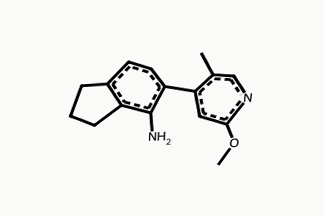 COc1cc(-c2ccc3c(c2N)CCC3)c(C)cn1